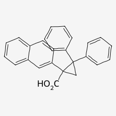 O=C(O)C1(c2ccc3ccccc3c2)CC1(c1ccccc1)c1ccccc1